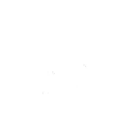 N[C@@H](CO)[C@@H](O)c1ccc(F)cn1